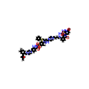 Cc1cc(S(=O)(=O)NC(=O)c2ccc(N3CCN(CC4=C(C56CC(C)(C5)C6)CC(C)(C)CC4)CC3)cc2)ccc1N[C@H](CCN1CCN(CCCCNc2cccc3c2C(=O)N(C2CCC(=O)NC2=O)C3=O)CC1)CSc1ccccc1